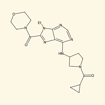 CCn1c(C(=O)N2CCOCC2)nc2c(NC3CCN(C(=O)C4CC4)C3)ncnc21